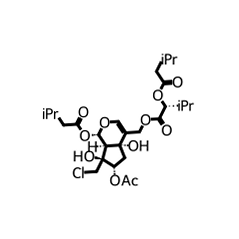 CC(=O)O[C@H]1C[C@]2(O)C(COC(=O)[C@H](OC(=O)CC(C)C)C(C)C)=CO[C@@H](OC(=O)CC(C)C)[C@@H]2[C@@]1(O)CCl